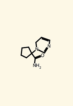 NC(=O)C1(N2C=NC=CC2)CCCC1